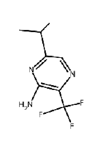 CC(C)c1cnc(C(F)(F)F)c(N)n1